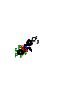 O=S(=O)(c1c(F)c(F)c(F)c(F)c1F)N(Cc1ccc(C(F)(F)F)cc1)C1CC1